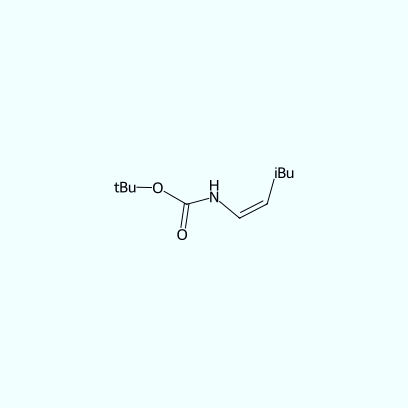 CCC(C)/C=C\NC(=O)OC(C)(C)C